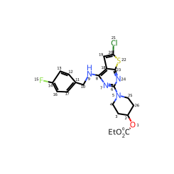 CCOC(=O)OC1CCN(c2nc(NCc3ccc(F)cc3)c3cc(Cl)sc3n2)CC1